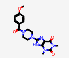 COc1ccc(C(=O)N2CCN(c3nc4c(=O)n(C)c(=O)n(C)c4[nH]3)CC2)cc1